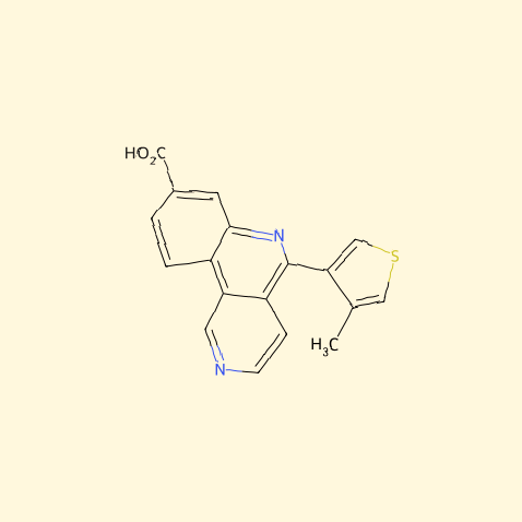 Cc1cscc1-c1nc2cc(C(=O)O)ccc2c2cnccc12